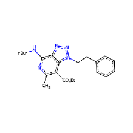 CCCCNc1nc(C)c(C(=O)OCC)c2c1nnn2CCc1ccccc1